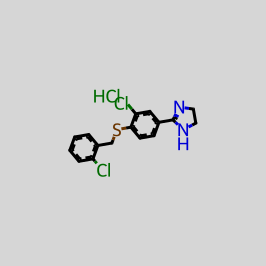 Cl.Clc1ccccc1CSc1ccc(C2=NCCN2)cc1Cl